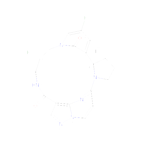 O=C1NC[C@H](F)Cn2cc(F)cc(c2=O)[C@H]2CCCN2c2ccn3ncc1c3n2